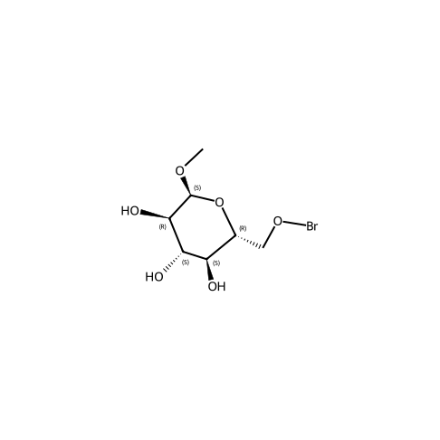 CO[C@H]1O[C@H](COBr)[C@@H](O)[C@H](O)[C@H]1O